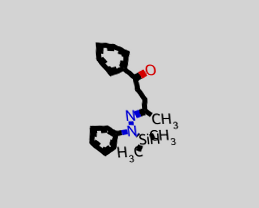 CC(CCC(=O)c1ccccc1)=NN(c1ccccc1)[SiH](C)C